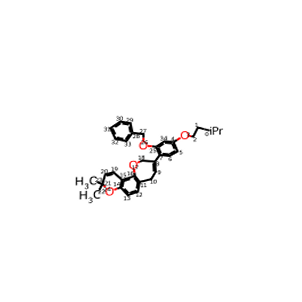 CC(C)CCOc1ccc(C2=CCc3ccc4c(c3OC2)C=CC(C)(C)O4)c(OCc2ccccc2)c1